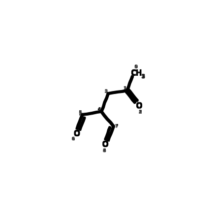 CC(=O)CC([C]=O)C=O